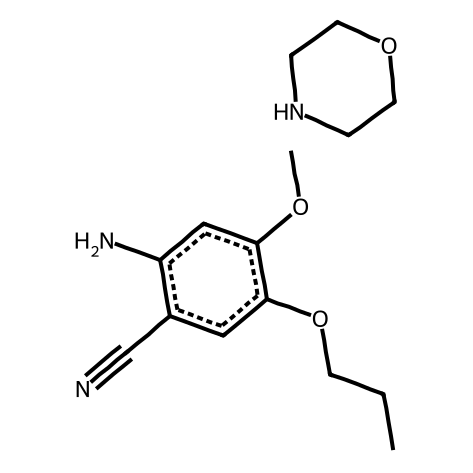 C1COCCN1.CCCOc1cc(C#N)c(N)cc1OC